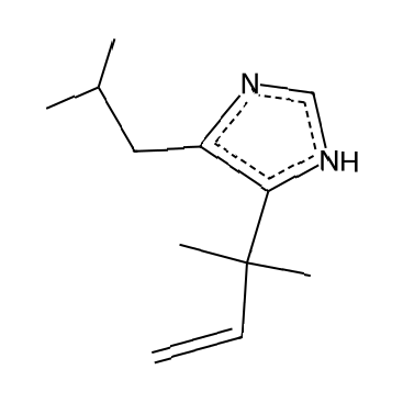 C=CC(C)(C)c1[nH]cnc1CC(C)C